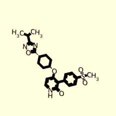 CC(C)c1noc([C@H]2CC[C@@H](Oc3cc[nH]c(=O)c3-c3ccc(S(C)(=O)=O)cc3)CC2)n1